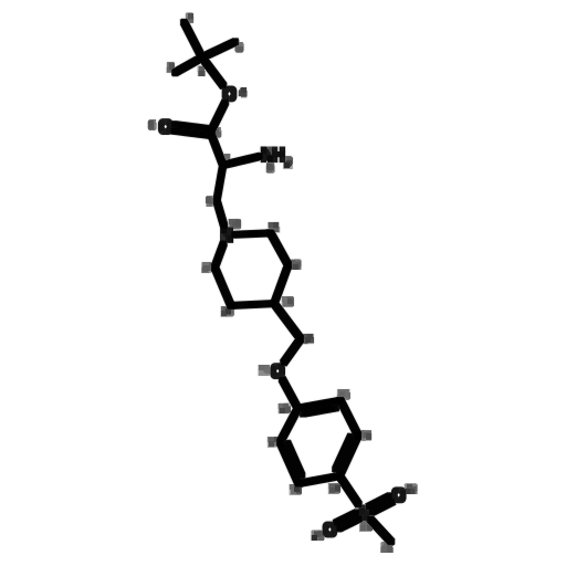 CC(C)(C)OC(=O)C(N)CN1CCC(COc2ccc(S(C)(=O)=O)cc2)CC1